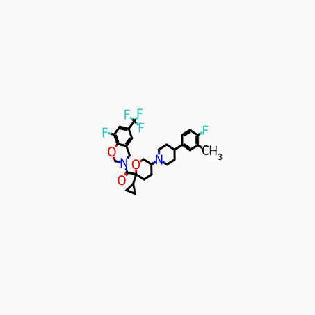 Cc1cc(C2CCN(C3CCC(C(=O)N4COc5c(F)cc(C(F)(F)F)cc5C4)(C4CC4)OC3)CC2)ccc1F